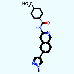 Cn1cc(-c2ccc3cnc(NC(=O)[C@H]4CC[C@H](C(=O)O)CC4)cc3c2)cn1